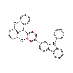 c1ccc(-n2c3ccccc3c3ccc(-c4ccc(C56c7ccccc7Oc7cccc(c75)Oc5ccccc56)cc4)cc32)cc1